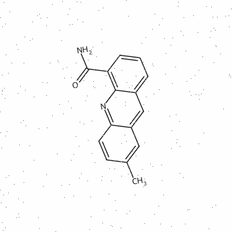 Cc1ccc2nc3c(C(N)=O)cccc3cc2c1